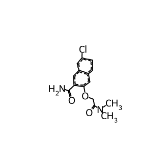 CN(C)C(=O)COc1cc2ccc(Cl)cc2cc1C(N)=O